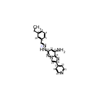 CCc1cccc(/C=N/Nc2cc(N)c3nc(-c4ccncc4)cn3n2)c1